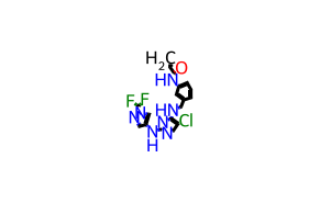 C=CC(=O)Nc1cccc(CNc2nc(Nc3cnn(C(F)F)c3)ncc2Cl)c1